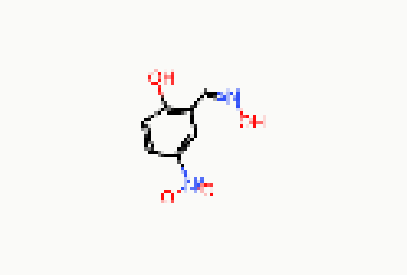 O=[N+]([O-])c1ccc(O)c(/C=N\O)c1